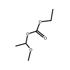 [CH2]COC(=O)OC(C)OC